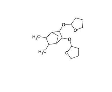 CC1C(C)C2CC1C(OC1CCCO1)C2OC1CCCO1